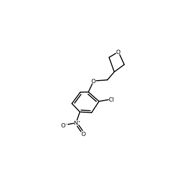 O=[N+]([O-])c1ccc(OCC2COC2)c(Cl)c1